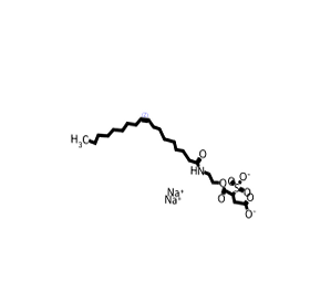 CCCCCCCC/C=C\CCCCCCCC(=O)NCCOC(=O)C(CC(=O)[O-])S(=O)(=O)[O-].[Na+].[Na+]